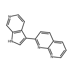 c1cnc2nc(-c3c[nH]c4cnccc34)ccc2c1